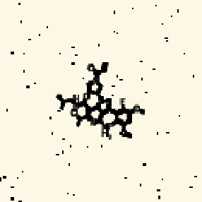 C=CC(=O)N1CC[C@H](n2nc(-c3c(F)c(OC)cc(OC)c3F)c3c(N)nc(C(C)=O)c(C(=O)NCC(C)C)c32)C1